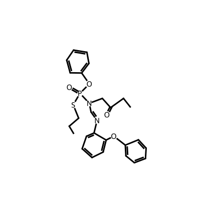 CCCSP(=O)(Oc1ccccc1)N(C=Nc1ccccc1Oc1ccccc1)CC(=O)CC